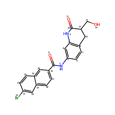 O=C(Nc1ccc2c(c1)NC(=O)C(CO)C2)c1ccc2cc(Br)ccc2c1